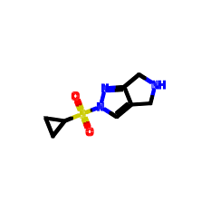 O=S(=O)(C1CC1)n1cc2c(n1)CNC2